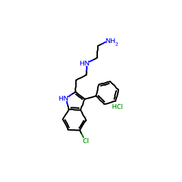 Cl.NCCNCCc1[nH]c2ccc(Cl)cc2c1-c1ccccc1